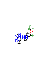 CC(C)(C)c1cc(NC2(c3ccc(OC(F)(F)F)c(F)c3)CC2)n2ncnc2n1